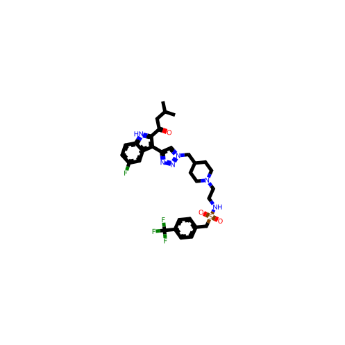 CC(C)CC(=O)c1[nH]c2ccc(F)cc2c1-c1cn(CC2CCN(CCNS(=O)(=O)Cc3ccc(C(F)(F)F)cc3)CC2)nn1